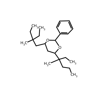 CCCC(C)(CC)C1CC(CC(C)(CC)CC)OC(c2ccccc2)O1